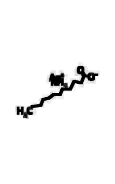 CCCCCCCCCCCC(=O)[O-].N.[Ag+]